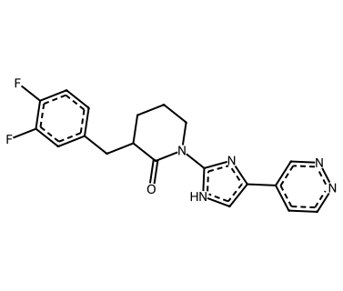 O=C1C(Cc2ccc(F)c(F)c2)CCCN1c1nc(-c2ccnnc2)c[nH]1